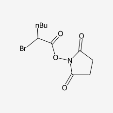 CCCCC(Br)C(=O)ON1C(=O)CCC1=O